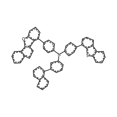 c1cc(-c2cccc3ccccc23)cc(N(c2ccc(-c3cccc4c3sc3ccccc34)cc2)c2ccc(-c3cccc4oc5c6ccccc6ccc5c34)cc2)c1